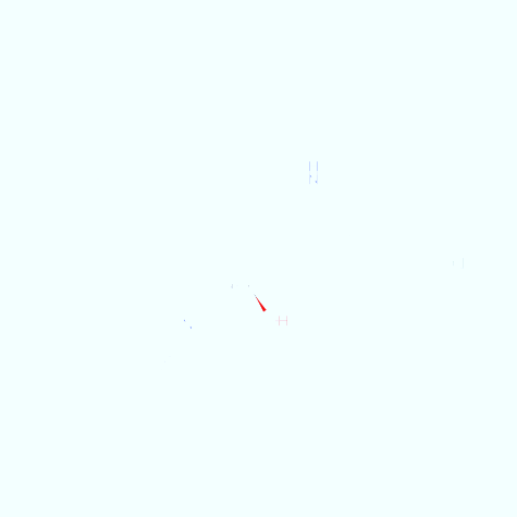 COc1cccc([C@@]23CCN(C)C[C@@]2(O)Cc2c([nH]c4ccc(Cl)cc24)C3)c1